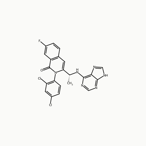 C[C@@H](Nc1ncnc2[nH]cnc12)c1cc2ccc(F)cc2c(=O)n1-c1ccc(Cl)cc1Cl